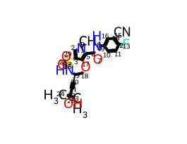 Cn1cc2c(c1C(=O)Nc1ccc(F)c(C#N)c1)OC[C@@H](C#CC(C)(C)O)NS2(=O)=O